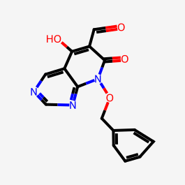 O=Cc1c(O)c2cncnc2n(OCc2ccccc2)c1=O